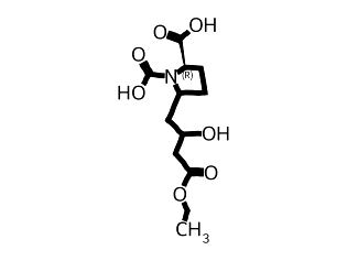 CCOC(=O)CC(O)CC1CC[C@H](C(=O)O)N1C(=O)O